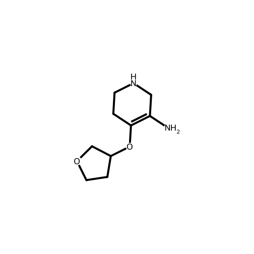 NC1=C(OC2CCOC2)CCNC1